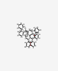 CC/C=C(\C(=C(c1ccccc1)c1ccccc1)c1cc(N(C)c2ccccc2-c2ccccc2)cc2c1sc1ccccc12)c1ccccc1